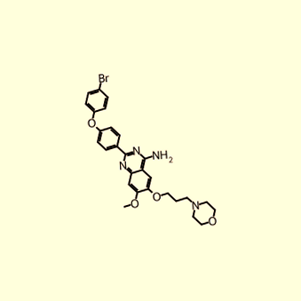 COc1cc2nc(-c3ccc(Oc4ccc(Br)cc4)cc3)nc(N)c2cc1OCCCN1CCOCC1